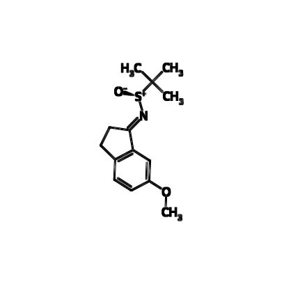 COc1ccc2c(c1)C(=N[S@@+]([O-])C(C)(C)C)CC2